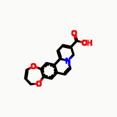 O=C(O)C1=CC=C2c3cc4c(cc3C=CN2C1)OCC=CO4